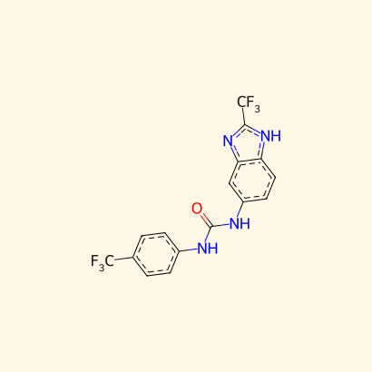 O=C(Nc1ccc(C(F)(F)F)cc1)Nc1ccc2[nH]c(C(F)(F)F)nc2c1